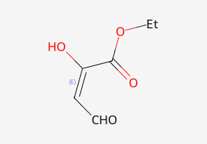 CCOC(=O)/C(O)=C\C=O